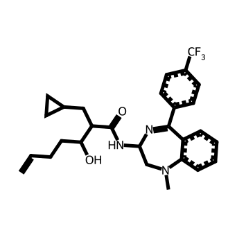 C=CCCC(O)C(CC1CC1)C(=O)NC1CN(C)c2ccccc2C(c2ccc(C(F)(F)F)cc2)=N1